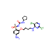 CS(=O)(=NC(=O)NC1CCCC1)c1ccc(N)cc1OCCCCNc1nc(Cl)ncc1Br